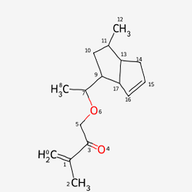 C=C(C)C(=O)COC(C)C1CC(C)C2CC=CC21